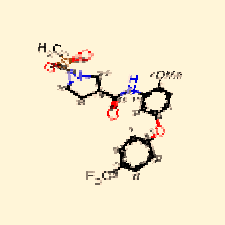 COc1ccc(Oc2ccc(C(F)(F)F)cc2)cc1NC(=O)C1CCN(S(C)(=O)=O)C1